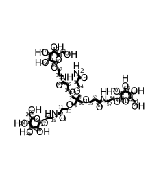 NC(=O)CCOCC(COCCC(=O)NCCO[C@H]1O[C@H](CO)[C@@H](O)[C@H](O)[C@@H]1O)(COCCC(=O)NCCO[C@H]1O[C@H](CO)[C@@H](O)[C@H](O)[C@@H]1O)COCCC(=O)NCCO[C@H]1O[C@H](CO)[C@@H](O)[C@H](O)[C@@H]1O